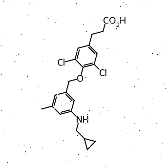 Cc1cc(COc2c(Cl)cc(CCC(=O)O)cc2Cl)cc(NCC2CC2)c1